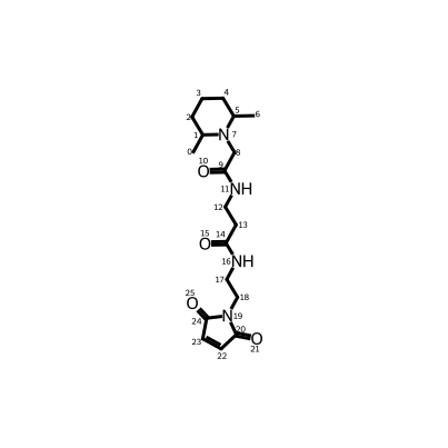 CC1CCCC(C)N1CC(=O)NCCC(=O)NCCN1C(=O)C=CC1=O